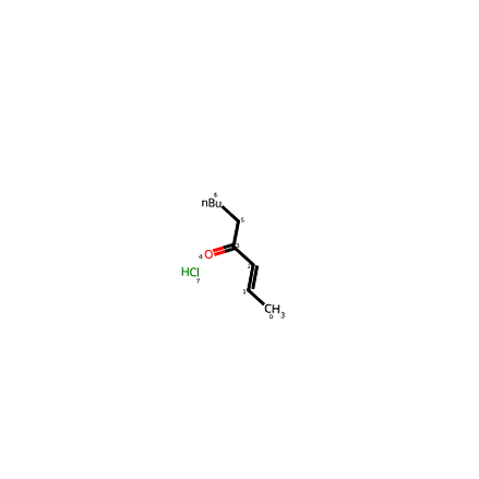 CC=CC(=O)CCCCC.Cl